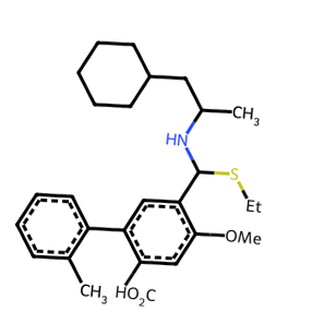 CCSC(NC(C)CC1CCCCC1)c1cc(-c2ccccc2C)c(C(=O)O)cc1OC